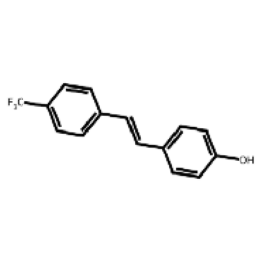 Oc1ccc(C=Cc2ccc(C(F)(F)F)cc2)cc1